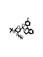 CC(C)(C)O[C@H]1CO[C@@H](C(=O)N2CCc3ccccc3[C@@H]2c2ccc(F)cc2)CC1N=[N+]=[N-]